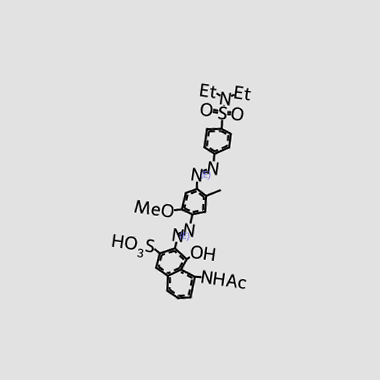 CCN(CC)S(=O)(=O)c1ccc(/N=N/c2cc(OC)c(/N=N/c3c(S(=O)(=O)O)cc4cccc(NC(C)=O)c4c3O)cc2C)cc1